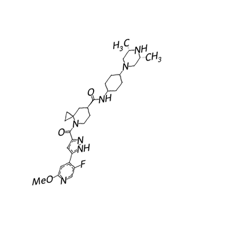 COc1cc(-c2cc(C(=O)N3CC[C@H](C(=O)NC4CCC(N5C[C@@H](C)N[C@@H](C)C5)CC4)CC34CC4)n[nH]2)c(F)cn1